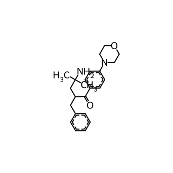 CC(C)(N)CC(Cc1ccccc1)C(=O)c1ccc(N2CCOCC2)cc1